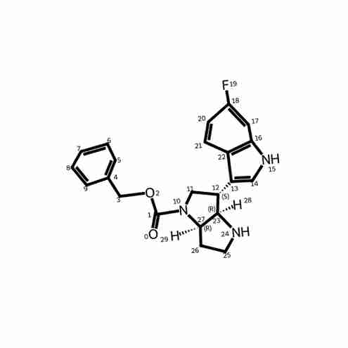 O=C(OCc1ccccc1)N1C[C@H](c2c[nH]c3cc(F)ccc23)[C@H]2NCC[C@H]21